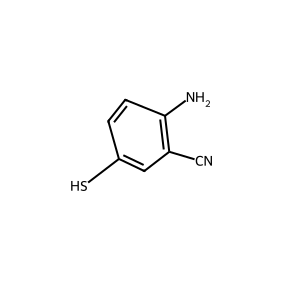 N#Cc1cc(S)ccc1N